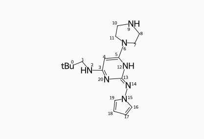 CC(C)(C)CNc1cc(N2CCNCC2)[nH]c(=Nn2cccc2)n1